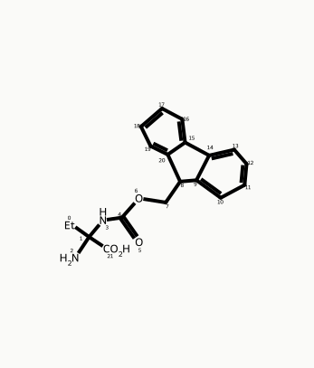 CCC(N)(NC(=O)OCC1c2ccccc2-c2ccccc21)C(=O)O